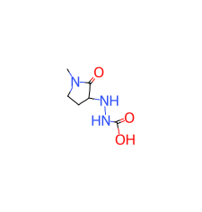 CN1CCC(NNC(=O)O)C1=O